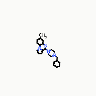 Cc1ccc2c(c1)nc(N1CCN(Cc3ccccc3)CC1)c1cccn12